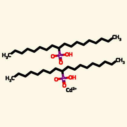 CCCCCCCCCC(CCCCCCCC)P(=O)([O-])O.CCCCCCCCCC(CCCCCCCC)P(=O)([O-])O.[Cd+2]